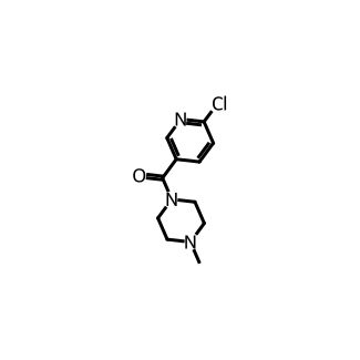 CN1CCN(C(=O)c2ccc(Cl)nc2)CC1